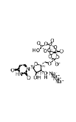 O=c1ccn([C@@H]2O[C@H](COP(=O)([O-])OP(=O)([O-])OP(=O)([O-])OP(=O)([O-])O)[C@@H](O)[C@H]2O)c(=O)[nH]1.[Na+].[Na+].[Na+].[Na+]